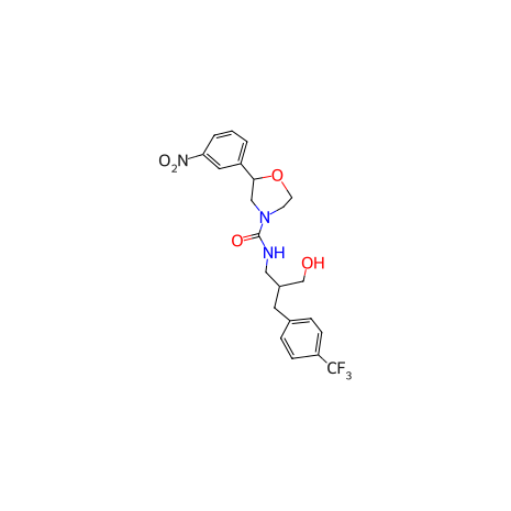 O=C(NCC(CO)Cc1ccc(C(F)(F)F)cc1)N1CCOC(c2cccc([N+](=O)[O-])c2)C1